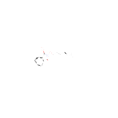 C=CCCCON1C(=O)c2ccccc2C1=O